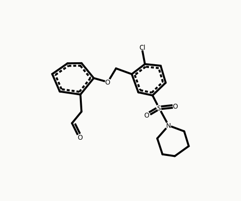 O=CCc1ccccc1OCc1cc(S(=O)(=O)N2CCCCC2)ccc1Cl